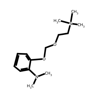 CN(C)c1ccccc1OCOCC[Si](C)(C)C